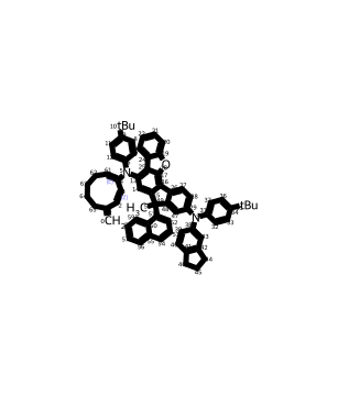 C=C1/C=C\C(N(c2ccc(C(C)(C)C)cc2)c2cc3c(c4oc5ccccc5c24)-c2ccc(N(c4ccc(C(C)(C)C)cc4)c4ccc5c(c4)CCC5)cc2C3(C)c2cccc3ccccc23)=C/CCCC1